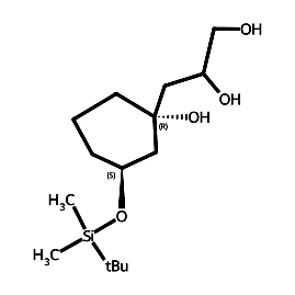 CC(C)(C)[Si](C)(C)O[C@H]1CCC[C@@](O)(CC(O)CO)C1